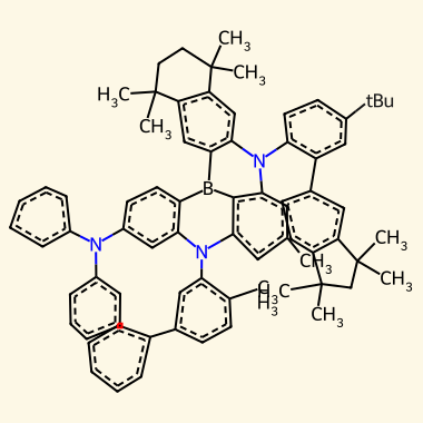 Cc1cc2c3c(c1)N(c1ccc(C(C)(C)C)cc1-c1ccc4c(c1)C(C)(C)CC4(C)C)c1cc4c(cc1B3c1ccc(N(c3ccccc3)c3ccccc3)cc1N2c1cc(-c2ccccc2)ccc1C)C(C)(C)CCC4(C)C